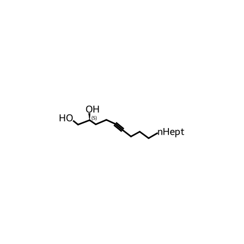 CCCCCCCCCCC#CCC[C@H](O)CO